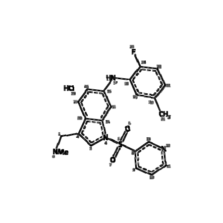 CNCc1cn(S(=O)(=O)c2cccnc2)c2cc(Nc3cc(C)ccc3F)ccc12.Cl